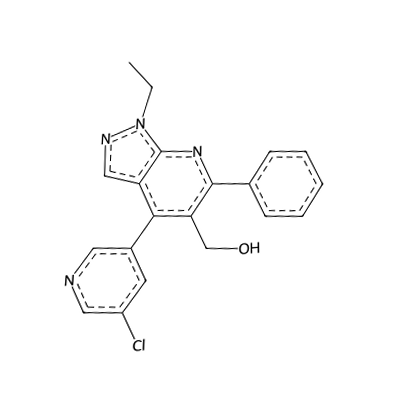 CCn1ncc2c(-c3cncc(Cl)c3)c(CO)c(-c3ccccc3)nc21